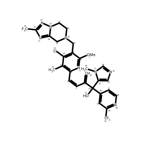 C=C(/C=C\c1nc(OC)c(CN2CCn3nc(C(F)(F)F)nc3C2)c(Cl)c1C)C(O)(c1ccnc(C(F)(F)F)c1)c1cncn1C